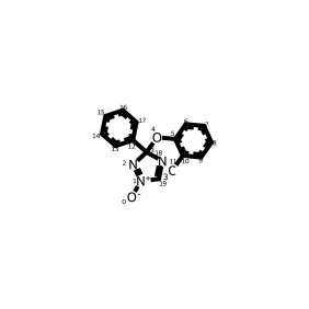 [O-][N+]1=NC(Oc2ccccc2C(F)(F)F)(c2ccccc2)N=C1